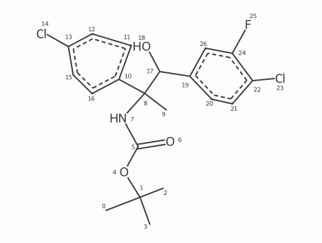 CC(C)(C)OC(=O)NC(C)(c1ccc(Cl)cc1)C(O)c1ccc(Cl)c(F)c1